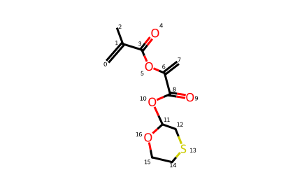 C=C(C)C(=O)OC(=C)C(=O)OC1CSCCO1